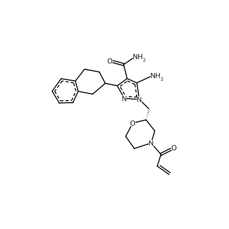 C=CC(=O)N1CCO[C@H](Cn2nc(C3CCc4ccccc4C3)c(C(N)=O)c2N)C1